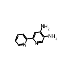 Nc1cnc(-c2ccccn2)cc1N